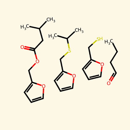 CC(C)CC(=O)OCc1ccco1.CC(C)SCc1ccco1.CCCC=O.SCc1ccco1